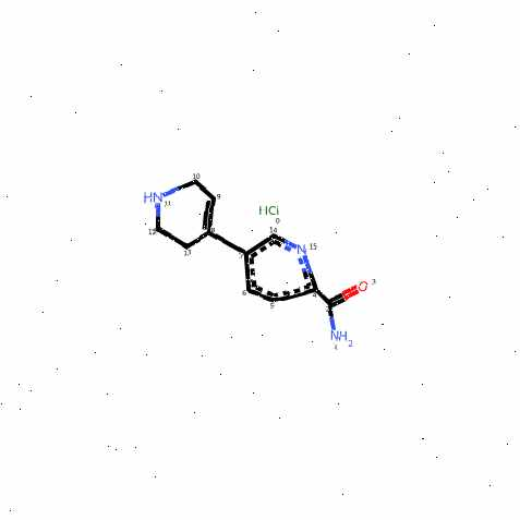 Cl.NC(=O)c1ccc(C2=CCNCC2)cn1